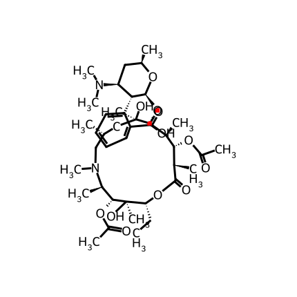 CC[C@H]1OC(=O)[C@H](C)[C@@H](OC(C)=O)[C@H](C)[C@@H](O[C@@H]2O[C@H](C)C[C@H](N(C)C)[C@H]2c2ccccc2C(=O)O)[C@](C)(O)C[C@@H](C)CN(C)[C@H](C)[C@@H](OC(C)=O)[C@]1(C)O